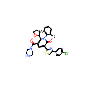 CCc1cccc(CC)c1-n1c(C2CCCO2)c(C(=O)N2CCNCC2)cc(-c2nc(-c3ccc(Cl)cc3)cs2)c1=O